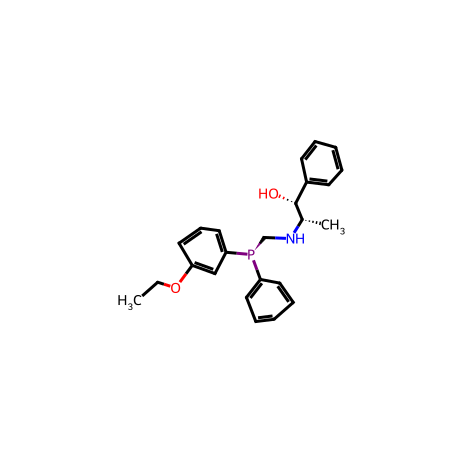 CCOc1cccc([P@@](CN[C@@H](C)[C@H](O)c2ccccc2)c2ccccc2)c1